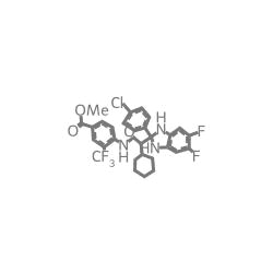 COC(=O)c1ccc(NC(=O)C(C2CCCCC2)C2(c3ccc(Cl)cc3)Nc3cc(F)c(F)cc3N2)c(C(F)(F)F)c1